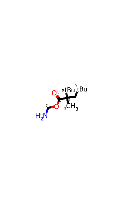 CC(C)(C)CC(C)(C(=O)OCN)C(C)(C)C